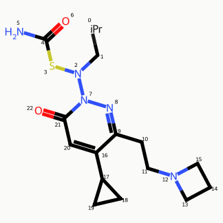 CC(C)CN(SC(N)=O)n1nc(CCN2CCC2)c(C2CC2)cc1=O